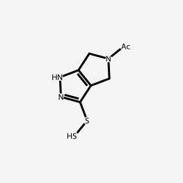 CC(=O)N1Cc2[nH]nc(SS)c2C1